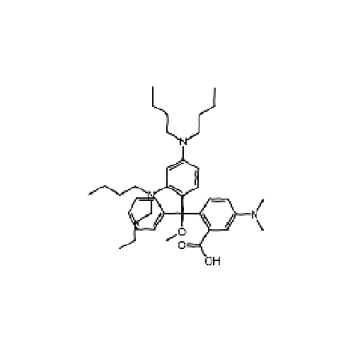 CCCCN(CCCC)c1ccc(C(OC)(c2ccccc2)c2ccc(N(C)C)cc2C(=O)O)c(N(CCCC)CCCC)c1